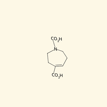 O=C(O)C1=CCCN(C(=O)O)CC1